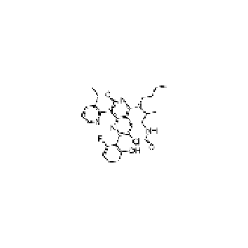 C=CCCN(c1nc(=O)n(-c2ncccc2CC)c2nc(C3=C(O)CCC=C3F)c(Cl)cc12)C(C)CNC=O